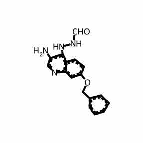 Nc1cnc2cc(OCc3ccccc3)ccc2c1NNC=O